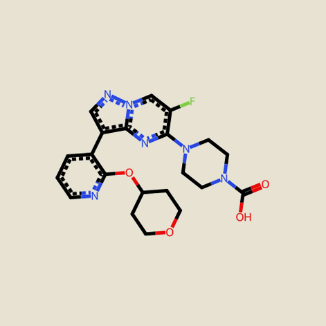 O=C(O)N1CCN(c2nc3c(-c4cccnc4OC4CCOCC4)cnn3cc2F)CC1